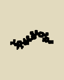 Cn1c(-c2ccc(OC(F)F)c(F)c2F)cnc1C(=O)Nc1ccc(C(=O)N2CCN(C(=O)[C@@H]3C[C@@H](O)C[N+]3(C)C)CC2)c(Cl)c1